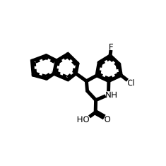 O=C(O)C1CC(c2ccc3ccccc3c2)c2cc(F)cc(Cl)c2N1